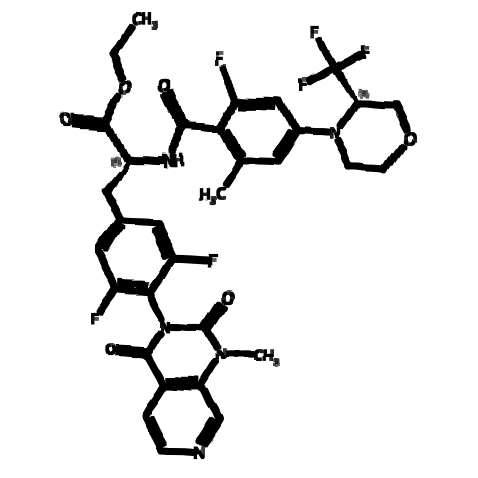 CCOC(=O)[C@H](Cc1cc(F)c(-n2c(=O)c3ccncc3n(C)c2=O)c(F)c1)NC(=O)c1c(C)cc(N2CCOC[C@@H]2C(F)(F)F)cc1F